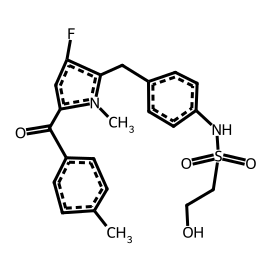 Cc1ccc(C(=O)c2cc(F)c(Cc3ccc(NS(=O)(=O)CCO)cc3)n2C)cc1